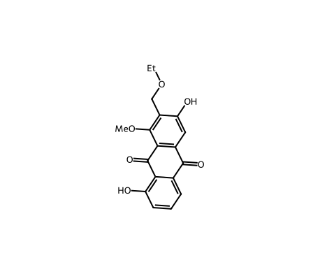 CCOCc1c(O)cc2c(c1OC)C(=O)c1c(O)cccc1C2=O